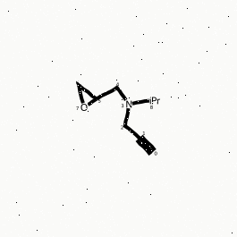 C#CCN(CC1CO1)C(C)C